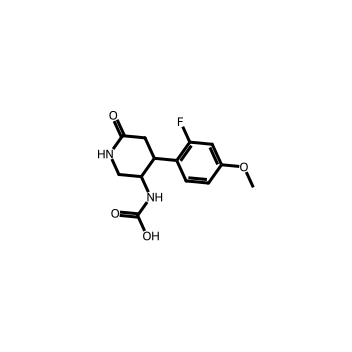 COc1ccc(C2CC(=O)NCC2NC(=O)O)c(F)c1